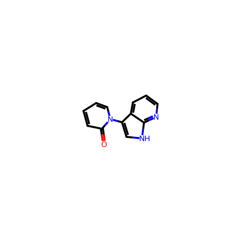 O=c1ccccn1-c1c[nH]c2ncccc12